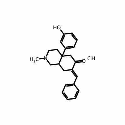 CN1CCC2(c3cccc(O)c3)CC(=O)C(=Cc3ccccc3)CC2C1.Cl